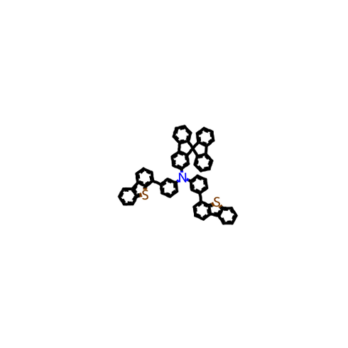 c1cc(-c2cccc3c2sc2ccccc23)cc(N(c2cccc(-c3cccc4c3sc3ccccc34)c2)c2ccc3c(c2)C2(c4ccccc4-c4ccccc42)c2ccccc2-3)c1